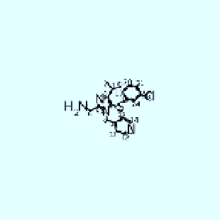 CC(C)c1nc(CN)n(Cc2ccncc2)c1Sc1cccc(Cl)c1